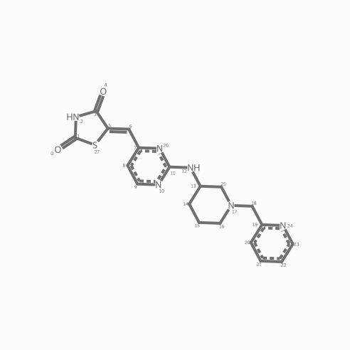 O=C1NC(=O)/C(=C/c2ccnc(NC3CCCN(Cc4ccccn4)C3)n2)S1